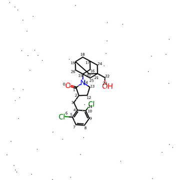 O=C1C(Cc2c(Cl)cccc2Cl)CCN1C12CC3CC(CC(CO)(C3)C1)C2